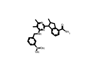 Cc1nc(C2c3cccc(C(N)=O)c3CC2C)nc(NCc2cccc(B(O)O)c2)c1C